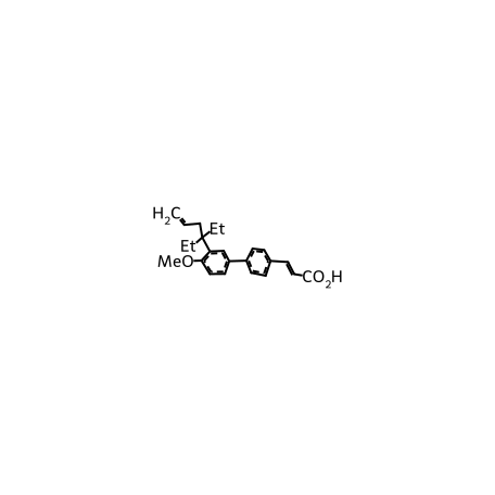 C=CCC(CC)(CC)c1cc(-c2ccc(/C=C/C(=O)O)cc2)ccc1OC